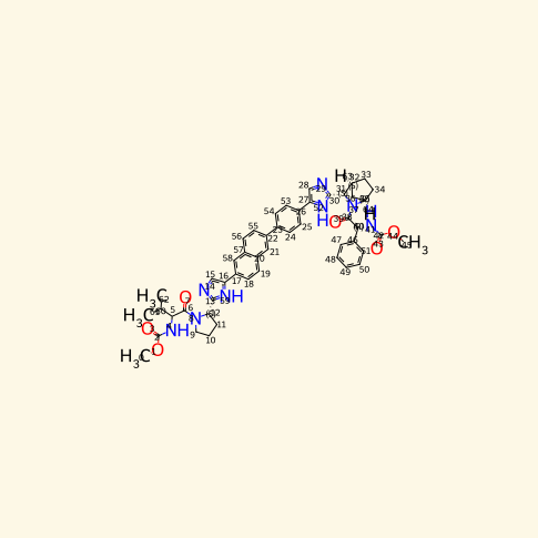 COC(=O)NC(C(=O)N1CCC[C@H]1c1ncc(-c2ccc3cc(-c4ccc(-c5cnc([C@@H]6[C@H]7CC[C@H](C7)N6C(=O)[C@H](NC(=O)OC)c6ccccc6)[nH]5)cc4)ccc3c2)[nH]1)C(C)C